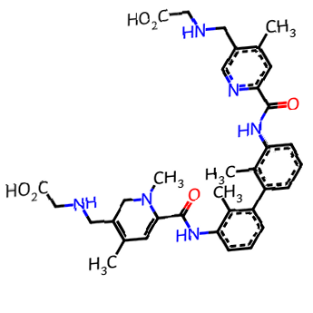 CC1=C(CNCC(=O)O)CN(C)C(C(=O)Nc2cccc(-c3cccc(NC(=O)c4cc(C)c(CNCC(=O)O)cn4)c3C)c2C)=C1